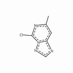 Cc1cc2ncnn2c(Cl)n1